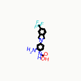 Nc1cc(N2Cc3ccc(C(F)(F)F)cc3C2)ccc1NC(=O)O